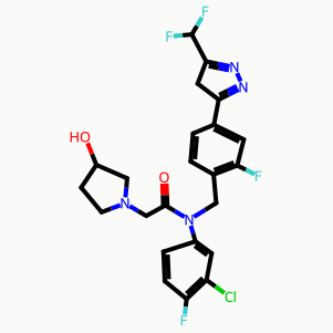 O=C(CN1CCC(O)C1)N(Cc1ccc(C2=NN=C(C(F)F)C2)cc1F)c1ccc(F)c(Cl)c1